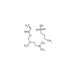 C=CC(=O)OCC(C)CCN(C)C.CCCCS(=O)(=O)O